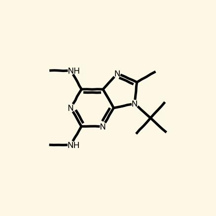 CNc1nc(NC)c2nc(C)n(C(C)(C)C)c2n1